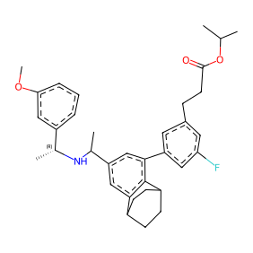 COc1cccc([C@@H](C)NC(C)c2cc(-c3cc(F)cc(CCC(=O)OC(C)C)c3)c3c(c2)C2CCC3CC2)c1